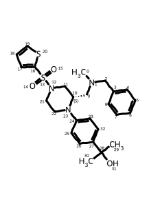 CN(Cc1ccccc1)C[C@H]1CN(S(=O)(=O)c2cccs2)CCN1c1ccc(C(C)(C)O)cc1